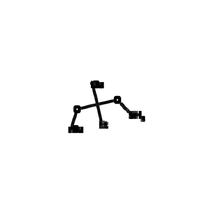 CCCCOC(CC)(O[SiH3])C(C)(C)C